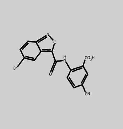 N#Cc1ccc(NC(=O)c2onc3ccc(Br)cc23)c(C(=O)O)c1